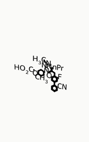 CCCc1c(Cc2ccc(-c3ccccc3C#N)cc2F)c(=O)n(C2CCC(C)(OCC(=O)O)CC2)c2nc(C)nn12